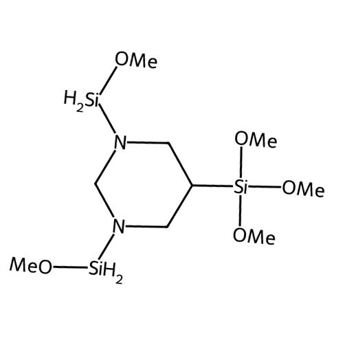 CO[SiH2]N1CC([Si](OC)(OC)OC)CN([SiH2]OC)C1